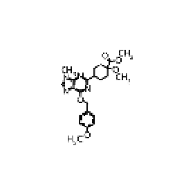 COC(=O)C1(OC)CCC(c2nc(OCc3ccc(OC)cc3)c3ncn(C)c3n2)CC1